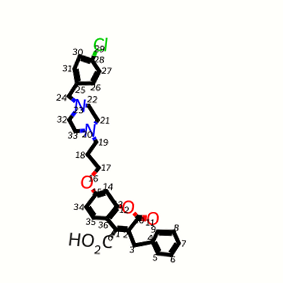 O=C(O)c1c(Cc2ccccc2)c(=O)oc2cc(OCCCN3CCN(Cc4ccc(Cl)cc4)CC3)ccc12